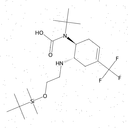 CC(C)(C)N(C(=O)O)[C@H]1CC=C(C(F)(F)F)C[C@@H]1NCCO[Si](C)(C)C(C)(C)C